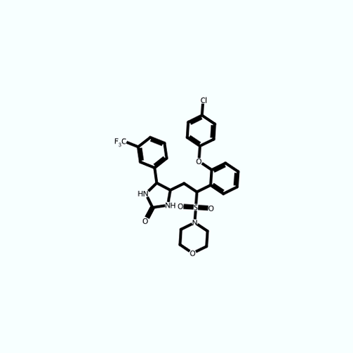 O=C1NC(CC(c2ccccc2Oc2ccc(Cl)cc2)S(=O)(=O)N2CCOCC2)C(c2cccc(C(F)(F)F)c2)N1